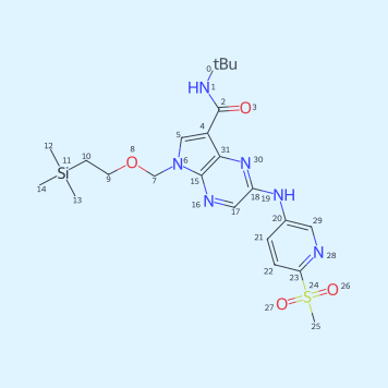 CC(C)(C)NC(=O)c1cn(COCC[Si](C)(C)C)c2ncc(Nc3ccc(S(C)(=O)=O)nc3)nc12